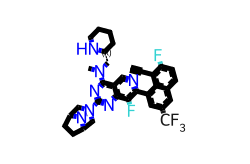 C#Cc1c(F)ccc2cc(C(F)(F)F)cc(-c3ncc4c(N(C)C[C@H]5CCCCN5)nc(N5CC6CCC(C5)N6C)nc4c3F)c12